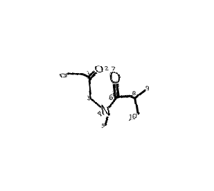 CC(=O)CN(C)C(=O)C(C)C